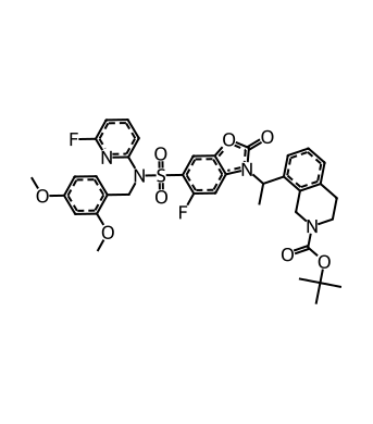 COc1ccc(CN(c2cccc(F)n2)S(=O)(=O)c2cc3oc(=O)n(C(C)c4cccc5c4CN(C(=O)OC(C)(C)C)CC5)c3cc2F)c(OC)c1